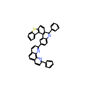 c1ccc(-c2ccc3ccc4ccc(-c5ccc6nc(-c7ccccc7)c7ccc8sc9ccccc9c8c7c6c5)nc4c3n2)cc1